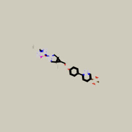 CC(C)c1noc(N2C[C@@H]3C(COc4ccc(-c5ccc(S(C)(=O)=O)cn5)cc4)[C@@H]3C2)n1